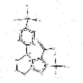 O=C(O)c1c(C(F)(F)F)nn2c1N(c1ccc(C(F)(F)F)cc1)CCC2